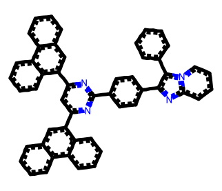 c1ccc(-c2c(-c3ccc(-c4nc(-c5cc6ccccc6c6ccccc56)cc(-c5cc6ccccc6c6ccccc56)n4)cc3)nc3ccccn23)cc1